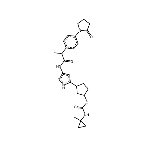 CC(C(=O)Nc1cc(C2CCC(OC(=O)NC3(C)CC3)C2)[nH]n1)c1ccc(N2CCCC2=O)cc1